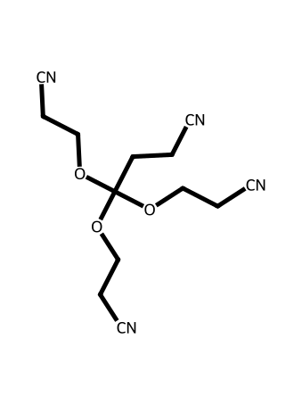 N#CCCOC(CCC#N)(OCCC#N)OCCC#N